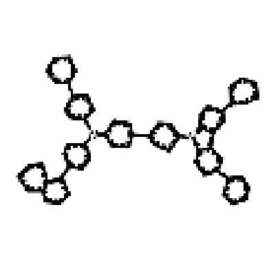 c1ccc(-c2ccc(N(c3ccc(-c4ccc(-n5c6ccc(-c7ccccc7)cc6c6cc(-c7ccccc7)ccc65)cc4)cc3)c3ccc(-c4cccc5ccccc45)cc3)cc2)cc1